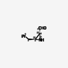 CC(C)C[C@@H]1N[C@H]1C=O